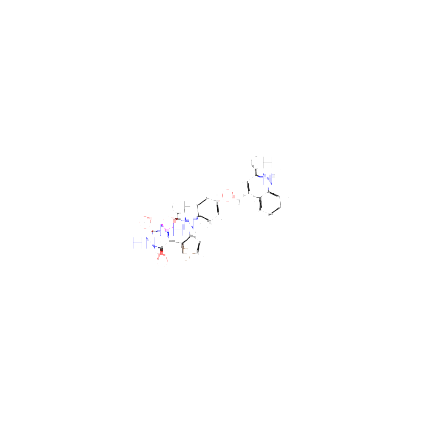 Cc1cc(COc2ccc(N(C(=O)C(F)(F)F)c3ccsc3C3NC(=O)NC3=O)cc2)c2ccccc2n1